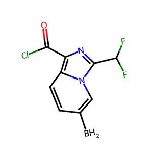 Bc1ccc2c(C(=O)Cl)nc(C(F)F)n2c1